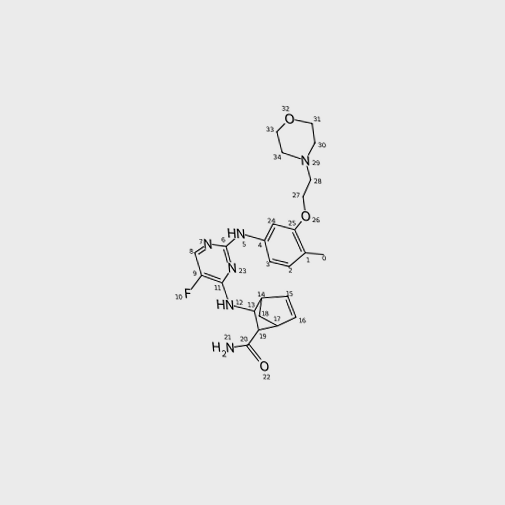 Cc1ccc(Nc2ncc(F)c(NC3C4C=CC(C4)C3C(N)=O)n2)cc1OCCN1CCOCC1